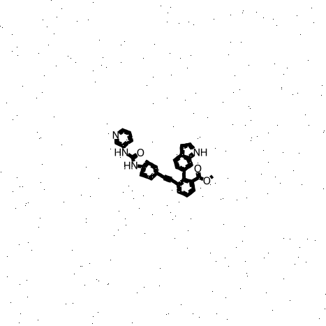 COC(=O)c1cccc(C#Cc2ccc(NC(=O)Nc3cccnc3)cc2)c1-c1ccc2cc[nH]c2c1